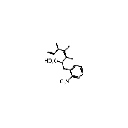 C=CC(C)/C(C)=C(/C)C(Cc1ccccc1[N+](=O)[O-])C(=O)O